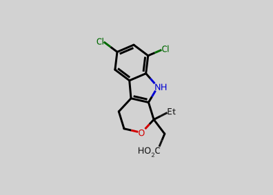 CCC1(CC(=O)O)OCCc2c1[nH]c1c(Cl)cc(Cl)cc21